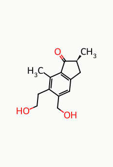 Cc1c(CCO)c(CO)cc2c1C(=O)[C@@H](C)C2